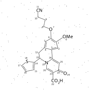 COc1cc2c(cc1OCCCC#N)CC(c1cccs1)n1cc(C(=O)O)c(=O)cc1-2